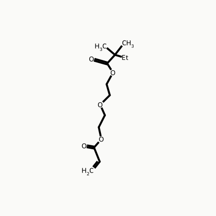 C=CC(=O)OCCOCCOC(=O)C(C)(C)CC